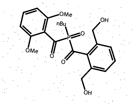 CCCCP(=O)(C(=O)c1c(CO)cccc1CO)C(=O)c1c(OC)cccc1OC